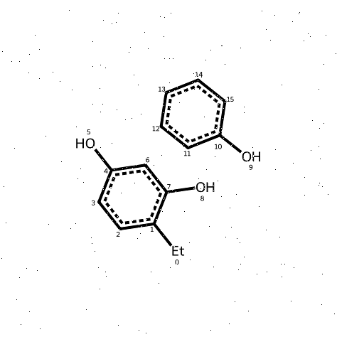 CCc1ccc(O)cc1O.Oc1ccccc1